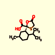 CC(C)C1CC[C@@H](C)CC1[C@]1(C(=O)O)OC(=O)CS1